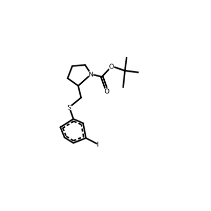 CC(C)(C)OC(=O)N1CCCC1CSc1cccc(I)c1